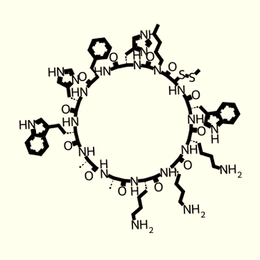 CCCCCN1C(=O)N[C@@H](Cc2c[nH]cn2)C(=O)N[C@H](Cc2ccccc2)C(=O)N[C@@H](Cc2c[nH]cn2)C(=O)N[C@@H](CCc2c[nH]c3ccccc23)C(=O)N[C@@H](C)C(=O)N[C@@H](C)C(=O)N[C@@H](CCCCN)C(=O)N[C@@H](CCCCN)C(=O)N[C@@H](CCCCN)C(=O)N[C@@H](Cc2c[nH]c3ccccc23)C(=O)NC(SSC)C1=O